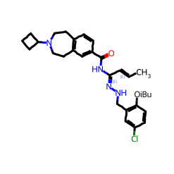 C/C=C/C(=N\NCc1cc(Cl)ccc1OCC(C)C)NC(=O)c1ccc2c(c1)CCN(C1CCC1)CC2